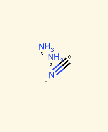 C#N.N.N